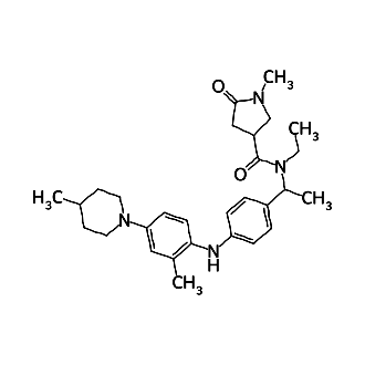 CCN(C(=O)C1CC(=O)N(C)C1)C(C)c1ccc(Nc2ccc(N3CCC(C)CC3)cc2C)cc1